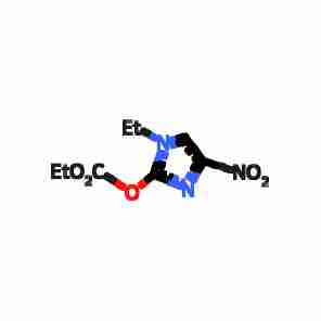 CCOC(=O)Oc1nc([N+](=O)[O-])cn1CC